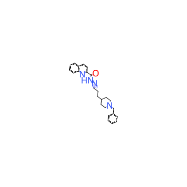 O=C(N/N=C/CCC1CCN(Cc2ccccc2)CC1)c1ccc2ccccc2n1